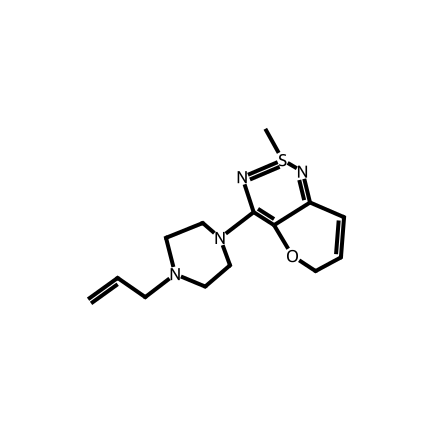 C=CCN1CCN(C2=C3OCC=CC3=NS(C)=N2)CC1